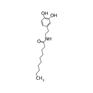 CCCCCCCCCC(=O)NCCc1ccc(O)c(O)c1